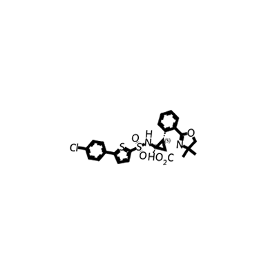 CC1(C)COC(c2ccccc2[C@@H]2C[C@]2(NS(=O)(=O)c2ccc(-c3ccc(Cl)cc3)s2)C(=O)O)=N1